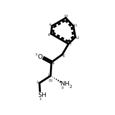 N[C@H](CS)C(=O)[CH]c1ccccc1